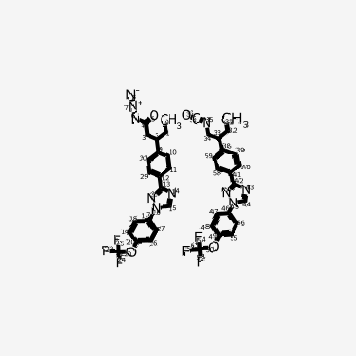 CCC(CC(=O)N=[N+]=[N-])c1ccc(-c2ncn(-c3ccc(OC(F)(F)F)cc3)n2)cc1.CCC(CN=C=O)c1ccc(-c2ncn(-c3ccc(OC(F)(F)F)cc3)n2)cc1